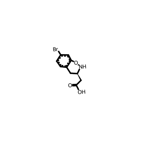 O=C(O)C[C@H]1Cc2ccc(Br)cc2ON1